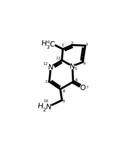 Cc1cccn2c(=O)c(CN)cnc12